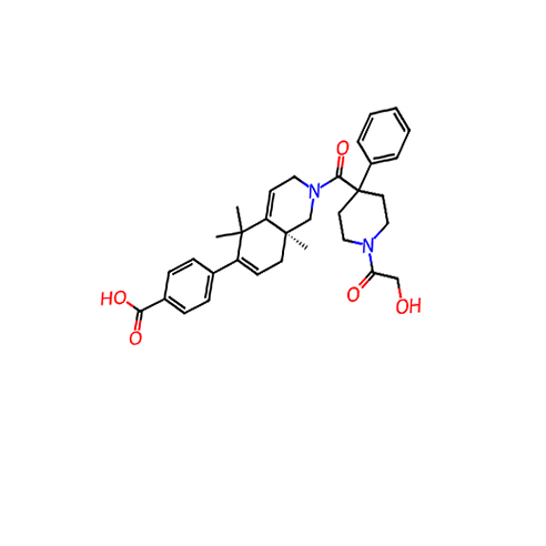 CC1(C)C(c2ccc(C(=O)O)cc2)=CC[C@]2(C)CN(C(=O)C3(c4ccccc4)CCN(C(=O)CO)CC3)CC=C12